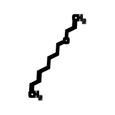 C=CC=CCCCCOCC=C